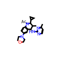 CC(=O)N1c2ccc(N3CCOCC3)cc2[C@H](Nc2nccc(C)n2)C(C)C1C1CC1